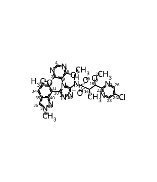 COc1ncnc(OC)c1-n1c(NS(=O)(=O)C(C)C(OC)c2ncc(Cl)cn2)nnc1-c1cccc2cn(C)nc12